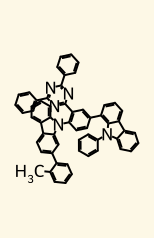 Cc1ccccc1-c1ccc2c3ccccc3n(-c3ccc(-c4cccc5c6ccccc6n(-c6ccccc6)c45)cc3-c3nc(-c4ccccc4)nc(-c4ccccc4)n3)c2c1